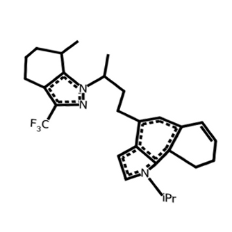 CC1CCCc2c(C(F)(F)F)nn(C(C)CCc3cc4c(c5c3ccn5C(C)C)CCC=C4)c21